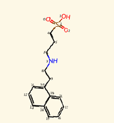 O=S(=O)(O)CCCNCCc1cccc2ccccc12